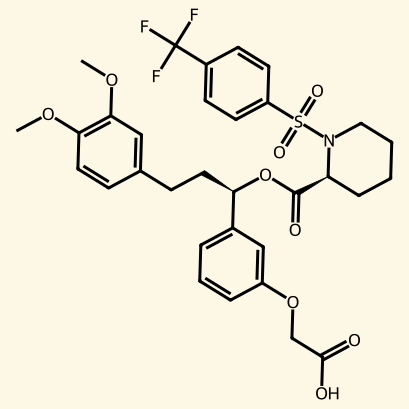 COc1ccc(CC[C@@H](OC(=O)[C@@H]2CCCCN2S(=O)(=O)c2ccc(C(F)(F)F)cc2)c2cccc(OCC(=O)O)c2)cc1OC